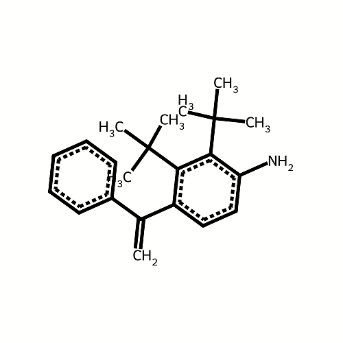 C=C(c1ccccc1)c1ccc(N)c(C(C)(C)C)c1C(C)(C)C